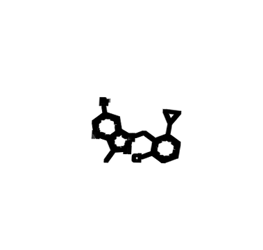 Cc1nn(Cc2c(Cl)cccc2C2CC2)c2cc(Br)cnc12